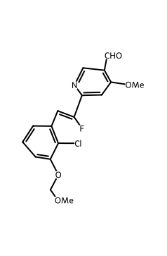 COCOc1cccc(C=C(F)c2cc(OC)c(C=O)cn2)c1Cl